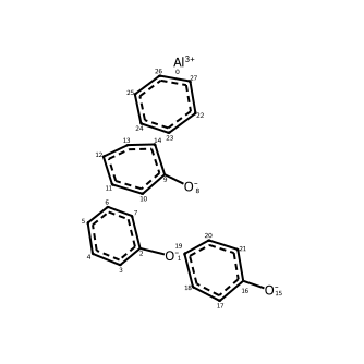 [Al+3].[O-]c1ccccc1.[O-]c1ccccc1.[O-]c1ccccc1.c1ccccc1